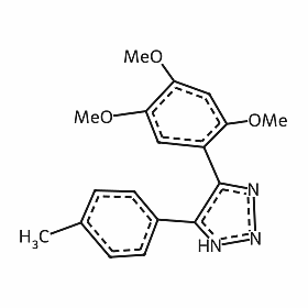 COc1cc(OC)c(-c2nn[nH]c2-c2ccc(C)cc2)cc1OC